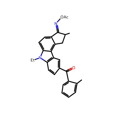 CCn1c2ccc(C(=O)c3ccccc3C)cc2c2c3c(ccc21)/C(=N/OC(C)=O)C(C)C3